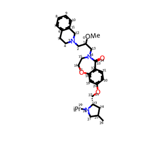 COC(CN1CCc2ccccc2C1)CN1CCOc2cc(OC[C@@H]3CC(C)CN3C(C)C)ccc2C1=O